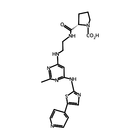 Cc1nc(NCCNC(=O)[C@@H]2CCCN2C(=O)O)cc(Nc2ncc(-c3ccncc3)s2)n1